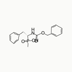 CP(=O)(O)[C@H](Cc1ccccc1)NC(=O)OCc1ccccc1